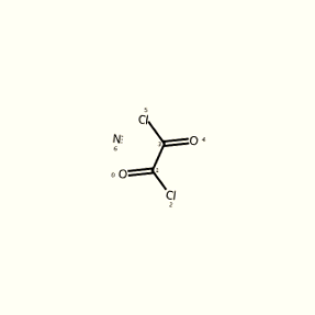 O=C(Cl)C(=O)Cl.[N]